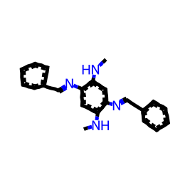 CNc1cc(N=Cc2ccccc2)c(NC)cc1N=Cc1ccccc1